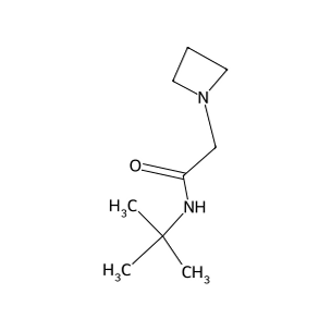 CC(C)(C)NC(=O)CN1CCC1